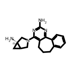 Nc1nc2c(c(N3CC4C[C@@]4(N)C3)n1)CCCc1ccccc1-2